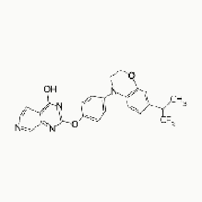 CC(c1ccc2c(c1)OCCN2c1ccc(Oc2nc(O)c3ccncc3n2)cc1)C(F)(F)F